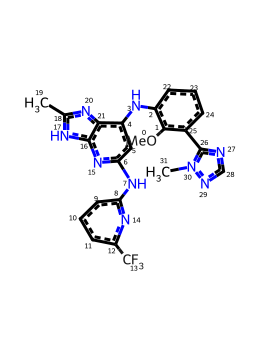 COc1c(Nc2cc(Nc3cccc(C(F)(F)F)n3)nc3[nH]c(C)nc23)cccc1-c1ncnn1C